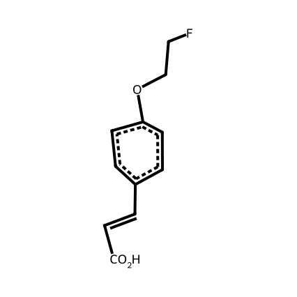 O=C(O)/C=C/c1ccc(OCCF)cc1